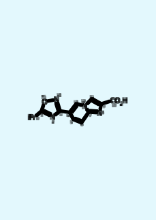 CC(C)c1nc(-c2ccc3nc(C(=O)O)cn3c2)no1